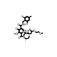 COCCOC1=NO[C@@]2(CC[C@H](C)N3C[C@H]2n2cc(C(=O)NCc4c(F)cc(C)cc4F)c(=O)c(O)c2C3=O)C1